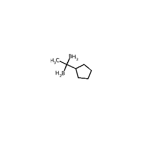 BC(B)(C)C1CCCC1